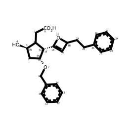 O=C(O)CC1[C@H](O)C[C@@H](OCc2ccccc2)[C@H]1C1=CC(CCc2ccccc2)O1